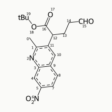 Cc1nc2cc([N+](=O)[O-])ccc2cc1C(CCC=O)C(=O)OC(C)(C)C